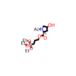 CCO[Si](CCCOC(=O)[C@@H]1CC(O)CN1C(C)=O)(OCC)OCC